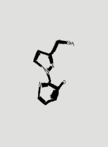 SCc1ccn(-c2ncccc2Cl)n1